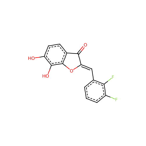 O=C1C(=Cc2cccc(F)c2F)Oc2c1ccc(O)c2O